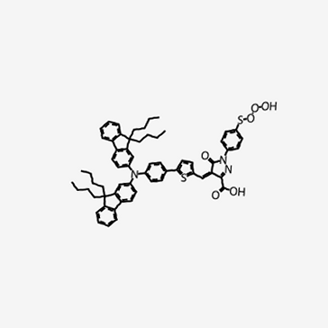 CCCCC1(CCCC)c2ccccc2-c2ccc(N(c3ccc(-c4ccc(/C=C5\C(=O)N(c6ccc(SOOO)cc6)N=C5C(=O)O)s4)cc3)c3ccc4c(c3)C(CCCC)(CCCC)c3ccccc3-4)cc21